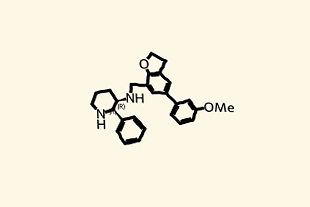 COc1cccc(-c2cc3c(c(CN[C@@H]4CCCN[C@@H]4c4ccccc4)c2)OCC3)c1